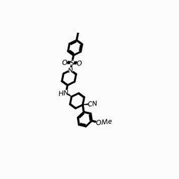 COc1cccc([C@]2(C#N)CC[C@@H](NC3CCN(S(=O)(=O)c4ccc(C)cc4)CC3)CC2)c1